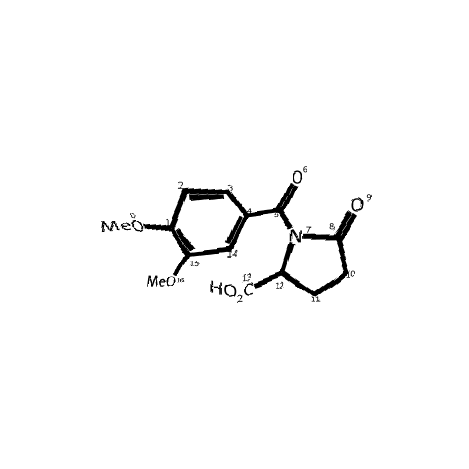 COc1ccc(C(=O)N2C(=O)CCC2C(=O)O)cc1OC